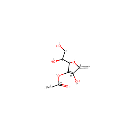 C=C1O[C@H]([C@@H](O)CO)C(OC(=O)CCCCC)=C1O